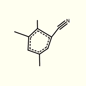 Cc1cc(C)c(C)c(C#N)c1